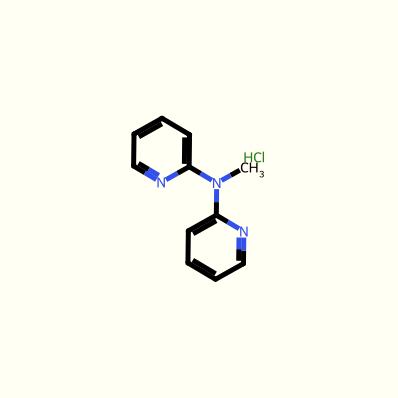 CN(c1ccccn1)c1ccccn1.Cl